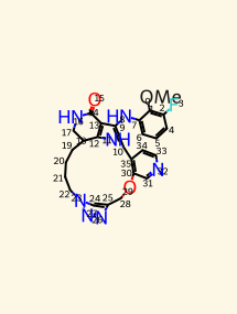 COc1c(F)cccc1Nc1c2[nH]c3c1C(=O)NCC3CCCCn1cc(nn1)COc1cnccc1-2